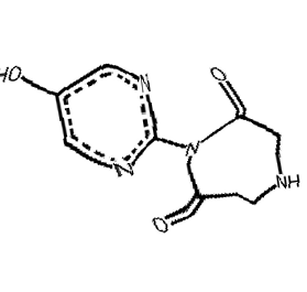 O=C1CNCC(=O)N1c1ncc(O)cn1